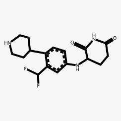 O=C1CCC(Nc2ccc(C3CCNCC3)c(C(F)F)c2)C(=O)N1